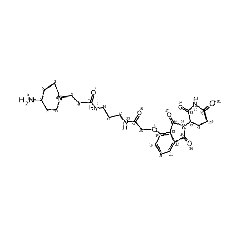 NC1CCN(CCC(=O)NCCCNC(=O)COc2cccc3c2C(=O)N(C2CCC(=O)NC2=O)C3=O)CC1